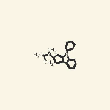 CC(C)N(C)c1ccc2c3ccccc3n(-c3ccccc3)c2c1